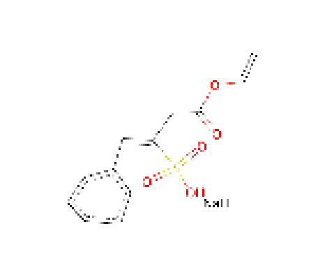 C=COC(=O)CC(=Cc1ccccc1)S(=O)(=O)O.[NaH]